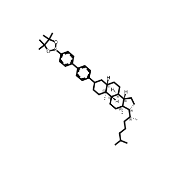 CC(C)CCC[C@@H](C)[C@H]1CC[C@H]2[C@@H]3CC[C@H]4CC(c5ccc(-c6ccc(B7OC(C)(C)C(C)(C)O7)cc6)cc5)CC[C@]4(C)[C@H]3CC[C@]12C